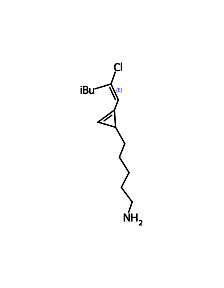 CCC(C)/C(Cl)=C\C1=CC1CCCCCN